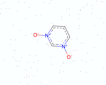 [O-][n+]1ccc[n+]([O-])c1